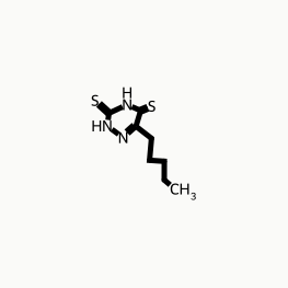 CCCCCc1n[nH]c(=S)[nH]c1=S